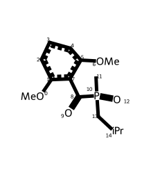 COc1cccc(OC)c1C(=O)P(C)(=O)CC(C)C